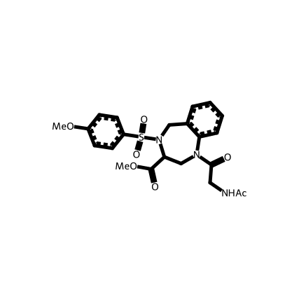 COC(=O)C1CN(C(=O)CNC(C)=O)c2ccccc2CN1S(=O)(=O)c1ccc(OC)cc1